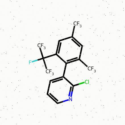 FC(F)(F)c1[c]c(C(F)(F)F)c(-c2cccnc2Cl)c(C(F)(C(F)(F)F)C(F)(F)F)c1